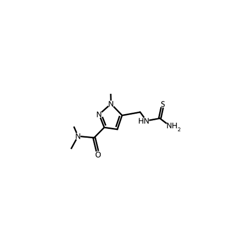 CN(C)C(=O)c1cc(CNC(N)=S)n(C)n1